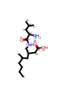 CCCCC(C)CC(CNC(=O)C(N)CC(C)C)CC(=O)O